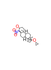 C[C@]12CCC(=O)C([N+](=O)[O-])=C1CC[C@@H]1[C@@H]2CC[C@]2(C)C(OC3CC3)CC[C@@H]12